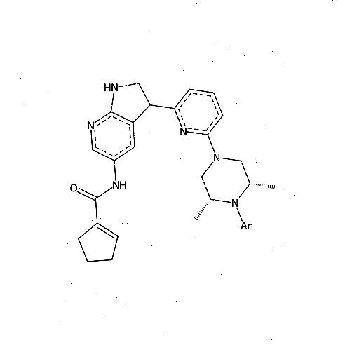 CC(=O)N1[C@H](C)CN(c2cccc(C3CNc4ncc(NC(=O)C5=CCCC5)cc43)n2)C[C@@H]1C